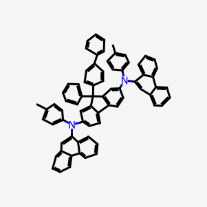 Cc1ccc(N(c2ccc3c(c2)C(c2ccccc2)(c2ccc(-c4ccccc4)cc2)c2cc(N(c4ccc(C)cc4)c4cc5ccccc5c5ccccc45)ccc2-3)c2cc3ccccc3c3ccccc23)cc1